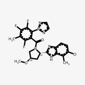 CO[C@@H]1C[C@@H](c2nc3ccc(Cl)c(C)c3[nH]2)N(C(=O)c2c(F)c(C)c(F)c(F)c2-n2nccn2)C1